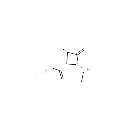 CCCCOC(=O)[C@@H]1[C@@H](S)C(=O)N1[SiH2]C